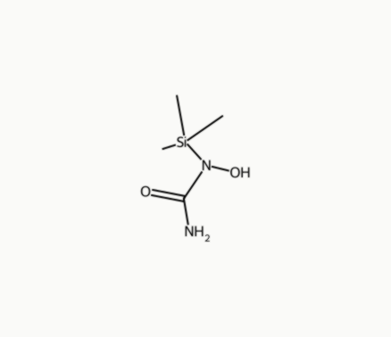 C[Si](C)(C)N(O)C(N)=O